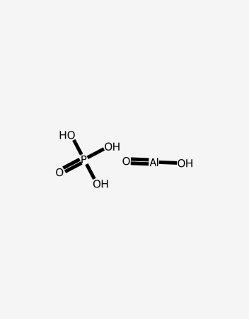 O=P(O)(O)O.[O]=[Al][OH]